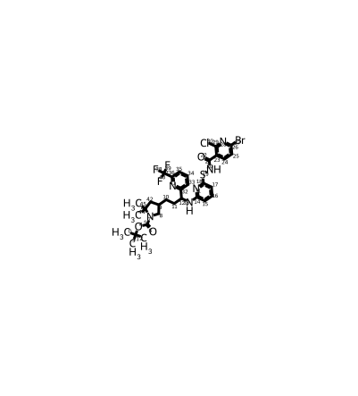 CC(C)(C)OC(=O)N1CC(CCC(Nc2cccc(SNC(=O)c3ccc(Br)nc3Cl)n2)c2cccc(C(F)(F)F)n2)CC1(C)C